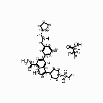 CCS(=O)(=O)N1CCC(c2c[nH]c3c(C(N)=O)cc(-c4cc(F)cc(CNC[C@@H]5CCCO5)c4)cc23)CC1.O=C(O)C(F)(F)F